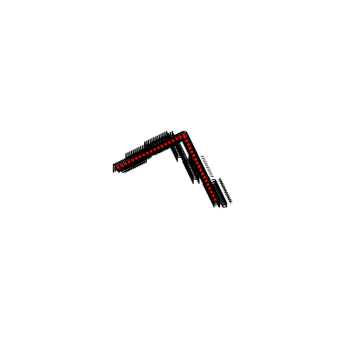 O.O.O.O.O.O.O.O.O.O.O.O.O.O.O.O.O.O.O.O.O.O.O.O.O.[Na+].[Na+].[Na+].[Na+].[Na+].[Na+].[Na+].[Na+].[Na+].[Na+].[Na+].[Na+].[Na+].[Na+].[Na+].[Na+].[Na+].[Na+].[Na+].[Na+].[Na+].[Na+].[Na+].[Na+].[Na+].[OH-].[OH-].[OH-].[OH-].[OH-].[OH-].[OH-].[OH-].[OH-].[OH-].[OH-].[OH-].[OH-].[OH-].[OH-].[OH-].[OH-].[OH-].[OH-].[OH-].[OH-].[OH-].[OH-].[OH-].[OH-]